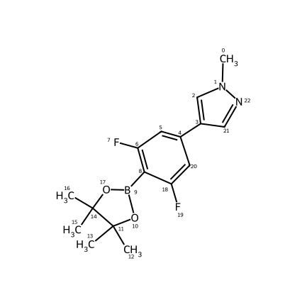 Cn1cc(-c2cc(F)c(B3OC(C)(C)C(C)(C)O3)c(F)c2)cn1